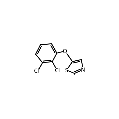 Clc1cccc(Oc2cn[c]s2)c1Cl